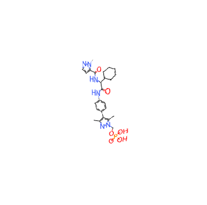 Cc1nn(COP(=O)(O)O)c(C)c1-c1ccc(NC(=O)[C@@H](NC(=O)c2ccnn2C)C2CCCCC2)cc1